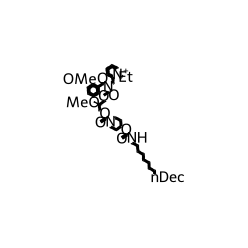 CCCCCCCCCCCCCCCCCCNC(=O)OC1CCN(C(=O)OC[C@H](COC(=O)N(Cc2cccc[n+]2CC)C(=O)c2ccccc2OC)OC)CC1